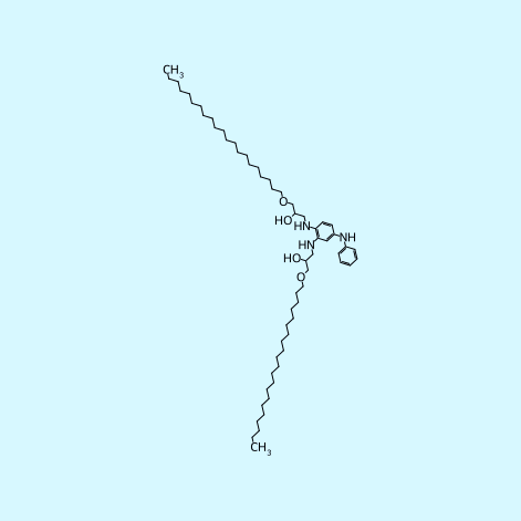 CCCCCCCCCCCCCCCCCCCCCOCC(O)CNc1ccc(Nc2ccccc2)cc1NCC(O)COCCCCCCCCCCCCCCCCCCCCC